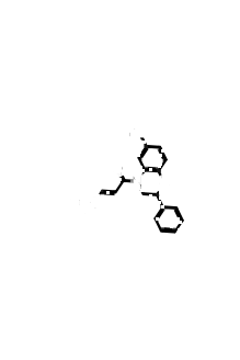 O=C(O)C=CC(=O)N1CC(c2ccccc2)Oc2ccc(Cl)cc21